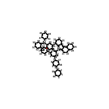 c1ccc(-c2ccc(-c3cc(-c4ccccc4)nc(-n4c5ccc6ccccc6c5c5cccc(-c6ccc7c(c6)N(c6ccccc6)c6ccccc6S7)c54)n3)cc2)cc1